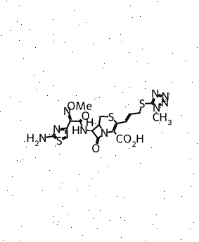 CO/N=C(\C(=O)N[C@@H]1C(=O)N2C(C(=O)O)=C(/C=C/CSc3nnnn3C)SC[C@H]12)c1csc(N)n1